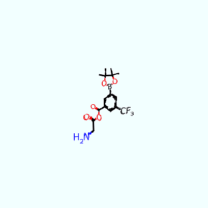 CC1(C)OB(c2cc(C(=O)OC(=O)CN)cc(C(F)(F)F)c2)OC1(C)C